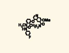 COc1cc2nccc(Oc3cccc(N(C)C(=O)Nc4ccc(F)cc4)c3C)c2cc1C(N)=O